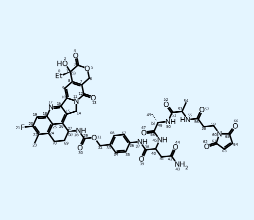 CC[C@@]1(O)C(=O)OCc2c1cc1n(c2=O)Cc2c-1nc1cc(F)c(C)c3c1c2[C@@H](NC(=O)OCc1ccc(NC(=O)C(CC(N)=O)NC(=O)[C@H](C)NC(=O)C(C)NC(=O)CCN2C(=O)C=CC2=O)cc1)CC3